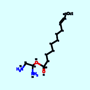 CCCCCCCCC=CCCCCCCCC(=O)OC(N)CN